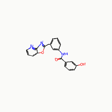 O=C(Nc1cccc(-c2nc3ncccc3o2)c1)c1cccc(O)c1